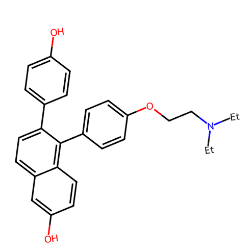 CCN(CC)CCOc1ccc(-c2c(-c3ccc(O)cc3)ccc3cc(O)ccc23)cc1